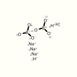 [H+].[H+].[H+].[Na+].[Na+].[Na+].[O-]B([O-])[O-].[O-]B([O-])[O-]